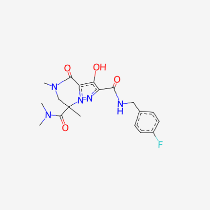 CN(C)C(=O)C1(C)CN(C)C(=O)c2c(O)c(C(=O)NCc3ccc(F)cc3)nn21